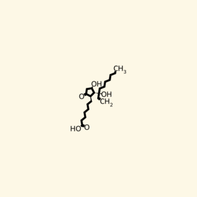 C=C[C@](O)(CCCCCCC)[C@H]1[C@H](O)CC(=O)[C@@H]1CCCCCCC(=O)O